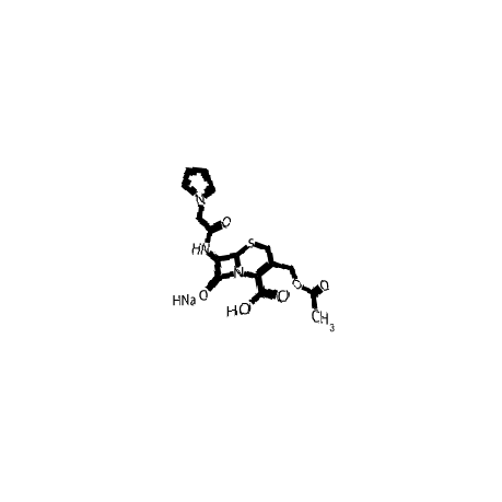 CC(=O)OCC1=C(C(=O)O)N2C(=O)C(NC(=O)Cn3cccc3)C2SC1.[NaH]